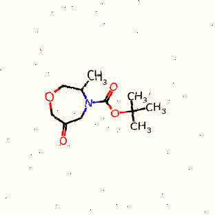 CC1COCC(=O)CN1C(=O)OC(C)(C)C